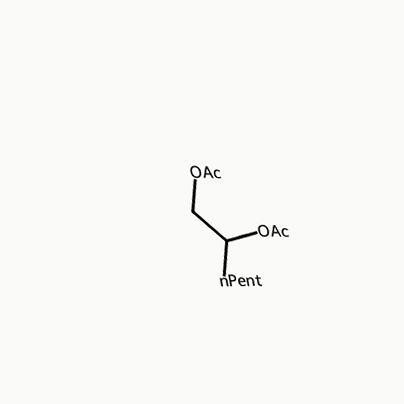 CCCCCC(COC(C)=O)OC(C)=O